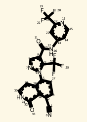 N#Cc1ccc(-n2ncc(C(=O)Nc3ccnc(C(F)(F)F)c3)c2C(F)(F)F)c2cc[nH]c(=O)c12